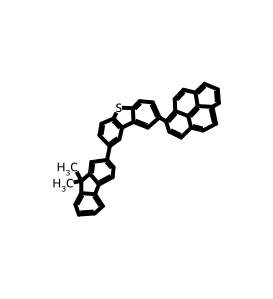 CC1(C)c2ccccc2-c2ccc(-c3ccc4sc5ccc(-c6ccc7ccc8cccc9ccc6c7c89)cc5c4c3)cc21